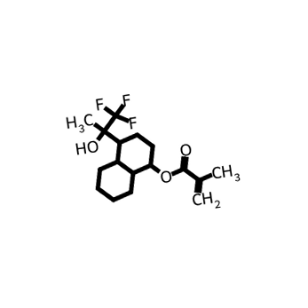 C=C(C)C(=O)OC1CCC(C(C)(O)C(F)(F)F)C2CCCCC12